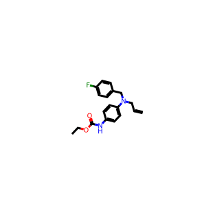 C=CCN(Cc1ccc(F)cc1)c1ccc(NC(=O)OCC)cc1